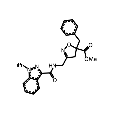 COC(=O)C1(Cc2ccccc2)CC(CNC(=O)c2nn(C(C)C)c3ccccc23)=NO1